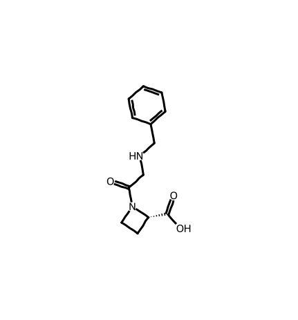 O=C(O)[C@@H]1CCN1C(=O)CNCc1ccccc1